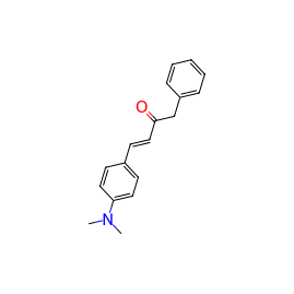 CN(C)c1ccc(C=CC(=O)Cc2ccccc2)cc1